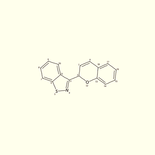 C1=CC(c2nsc3ccccc23)Oc2ccccc21